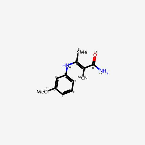 COc1cccc(NC(SC)=C(C#N)C(N)=O)c1